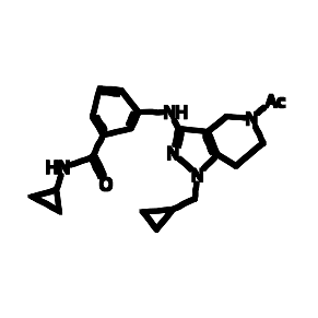 CC(=O)N1CCc2c(c(Nc3cccc(C(=O)NC4CC4)c3)nn2CC2CC2)C1